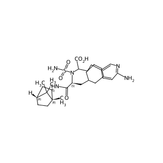 CC1(C)[C@@H]2CC[C@@]1(C)[C@@H](NC(=O)[C@H](CC1CCCCC1)N(C(CCc1ccc(N)nc1)C(=O)O)S(N)(=O)=O)C2